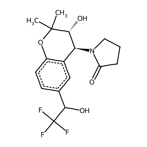 CC1(C)Oc2ccc(C(O)C(F)(F)F)cc2[C@H](N2CCCC2=O)[C@H]1O